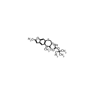 Cc1cc2cc3c(cc2o1)SC[C@H](NC(=O)OC(C)(C)C)C(=O)N3C